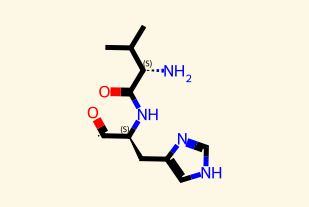 CC(C)[C@H](N)C(=O)N[C@H]([C]=O)Cc1c[nH]cn1